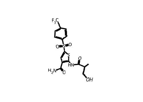 CC(CO)C(=O)Nc1sc(S(=O)(=O)c2ccc(C(F)(F)F)cc2)cc1C(N)=O